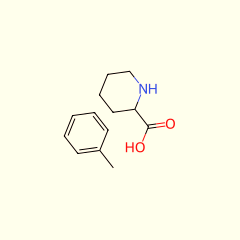 Cc1ccccc1.O=C(O)C1CCCCN1